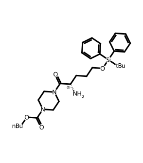 CCCCOC(=O)N1CCN(C(=O)[C@@H](N)CCCO[Si](c2ccccc2)(c2ccccc2)C(C)(C)C)CC1